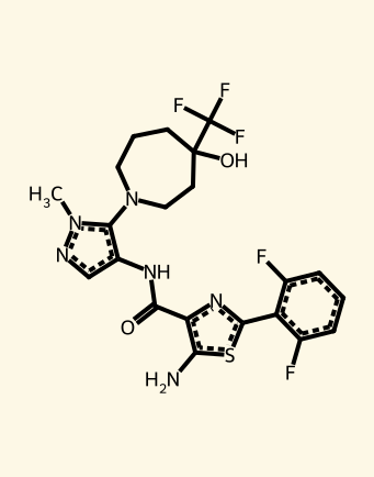 Cn1ncc(NC(=O)c2nc(-c3c(F)cccc3F)sc2N)c1N1CCCC(O)(C(F)(F)F)CC1